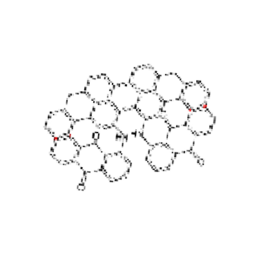 O=C1c2ccccc2C(=O)c2c(Nc3cc4c5c(ccc6c7ccc8c9c(cc(Nc%10cccc%11c%10C(=O)c%10ccccc%10C%11=O)c(c3c56)c97)-c3ccccc3C8)Cc3ccccc3-4)cccc21